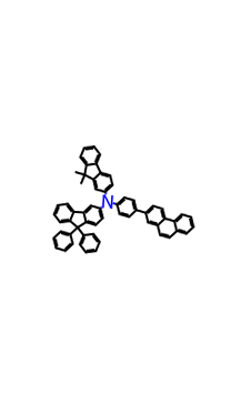 CC1(C)c2ccccc2-c2ccc(N(c3ccc(-c4ccc5c(ccc6ccccc65)c4)cc3)c3ccc4c(c3)-c3ccccc3C4(c3ccccc3)c3ccccc3)cc21